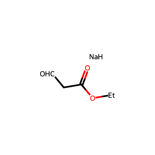 CCOC(=O)CC=O.[NaH]